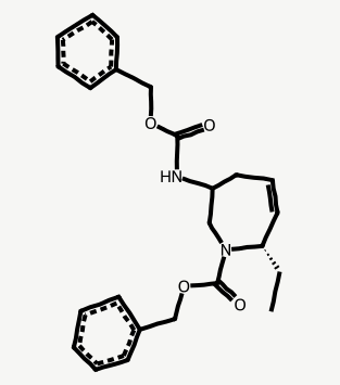 CC[C@H]1C=CCC(NC(=O)OCc2ccccc2)CN1C(=O)OCc1ccccc1